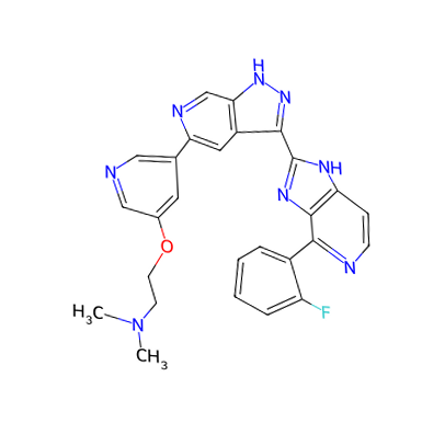 CN(C)CCOc1cncc(-c2cc3c(-c4nc5c(-c6ccccc6F)nccc5[nH]4)n[nH]c3cn2)c1